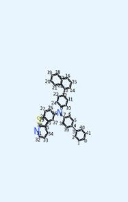 c1ccc(-c2ccc(N(c3ccc(-c4cccc5ccccc45)cc3)c3ccc4sc5ncccc5c4c3)cc2)cc1